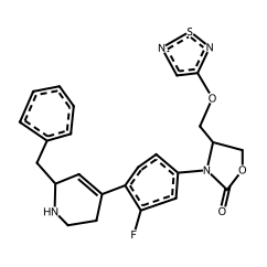 O=C1OCC(COc2cnsn2)N1c1ccc(C2=CC(Cc3ccccc3)NCC2)c(F)c1